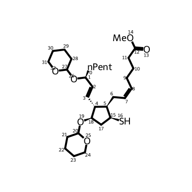 CCCCC[C@@H](/C=C/[C@@H]1[C@@H](C/C=C\CCCC(=O)OC)[C@@H](S)C[C@H]1OC1CCCCO1)OC1CCCCO1